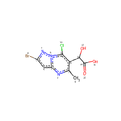 Cc1nc2cc(Br)nn2c(Cl)c1C(O)C(=O)O